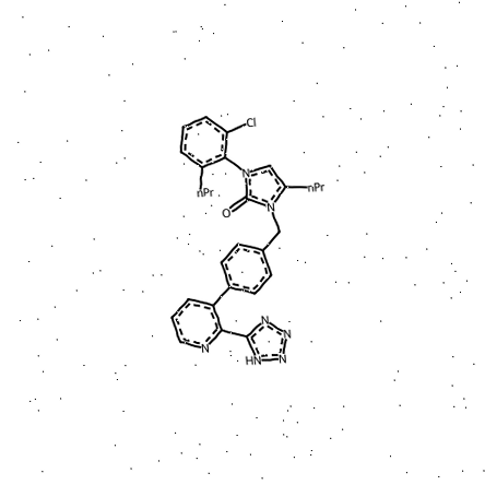 CCCc1cccc(Cl)c1-n1cc(CCC)n(Cc2ccc(-c3cccnc3-c3nnn[nH]3)cc2)c1=O